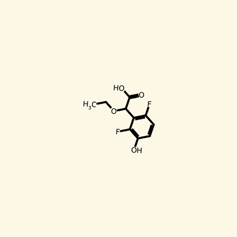 CCOC(C(=O)O)c1c(F)ccc(O)c1F